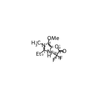 CCc1[nH]cc(OC)[n+]1C.O=C([O-])C(F)(F)F